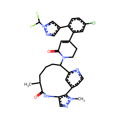 CC1CCCC(N2CCC(c3cc(Cl)ccc3-c3cnn(C(F)F)c3)=CC2=O)c2cc(ccn2)-c2c(cnn2C)NC1=O